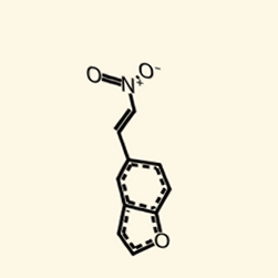 O=[N+]([O-])C=Cc1ccc2occc2c1